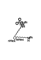 CCCCCCC1CCC(CCCCCCCCCNc2nc(C(C)C)nc(N(c3ccccc3)c3ccccc3)n2)C(CCCCCCCCCNC(C)C)C1CCCCCC